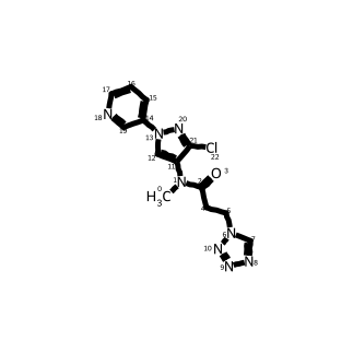 CN(C(=O)CCn1cnnn1)c1cn(-c2cccnc2)nc1Cl